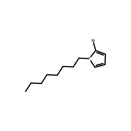 CCCCCCCCp1cccc1[N]